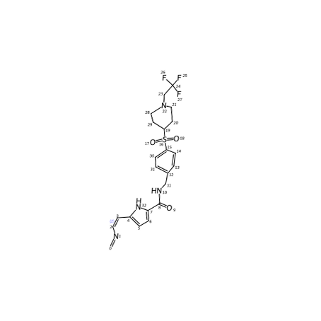 C=N/C=C\c1ccc(C(=O)NCc2ccc(S(=O)(=O)C3CCN(CC(F)(F)F)CC3)cc2)[nH]1